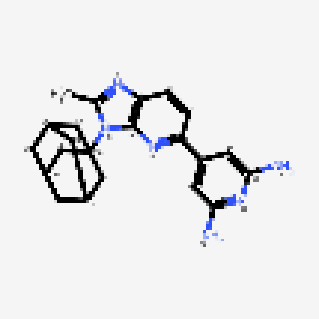 Cc1nc2ccc(-c3cc(N)nc(N)c3)nc2n1C12CC3CC(CC(C3)C1)C2